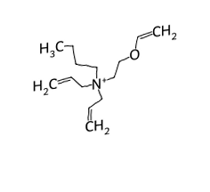 C=CC[N+](CC=C)(CCCC)CCOC=C